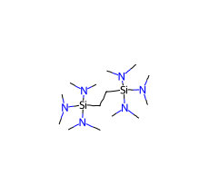 CN(C)[Si](CC[Si](N(C)C)(N(C)C)N(C)C)(N(C)C)N(C)C